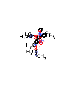 C=C/C=C\C(=C/C)COC(=O)C(C(=O)c1nn(C2CCCCO2)c2c1CCC(C)(C)C2)c1ccc(N(C)C(=O)OC/C(C)=C/C=C\C)cc1[N+](=O)[O-]